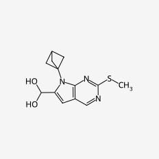 CSc1ncc2cc(C(O)O)n(C34CC(C3)C4)c2n1